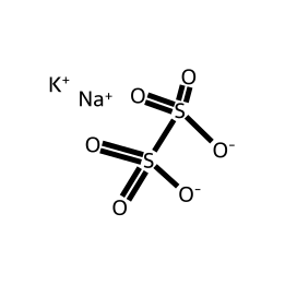 O=S(=O)([O-])S(=O)(=O)[O-].[K+].[Na+]